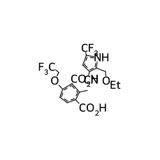 CCOCc1[nH]c(C(F)(F)F)cc1C#N.Cc1c(C(=O)O)ccc(OCC(F)(F)F)c1C(=O)O